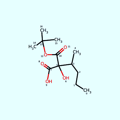 CCCC(C)C(O)(C(=O)O)C(=O)OC(C)(C)C